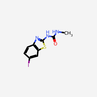 CNC(=O)Nc1nc2ccc(I)cc2s1